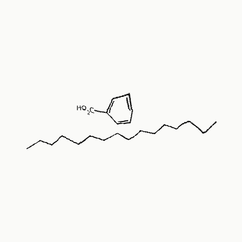 CCCCCCCCCCCCCCCC.O=C(O)c1ccccc1